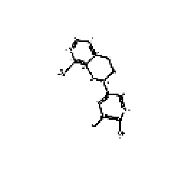 Cc1cc(N2CCc3ncnc(O)c3C2)cnc1O